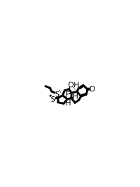 CCCS[C@@]1(SC)CC[C@H]2[C@@H]3CCC4=CC(=O)C=C[C@]4(C)[C@@]3(F)[C@@H](O)C[C@@]21C